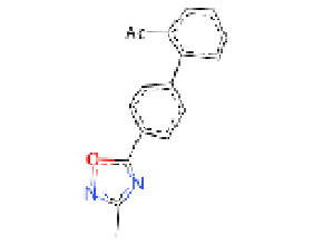 CC(=O)c1ccccc1-c1ccc(-c2nc(C)no2)cc1